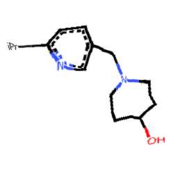 CC(C)c1ccc(CN2CCC(O)CC2)cn1